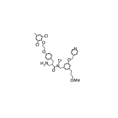 COCCCc1cc(CN(C(=O)C(CN)Cc2ccc(OCCOc3c(Cl)cc(C)cc3Cl)cc2)C2CC2)cc(OCc2ccncc2)c1